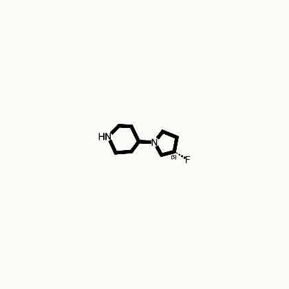 F[C@H]1CCN(C2CCNCC2)C1